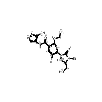 CCN1C(=O)N(c2nc(OCC(F)(F)F)c(C(=O)Nc3c[nH]nc3C#N)cc2F)NC1CO